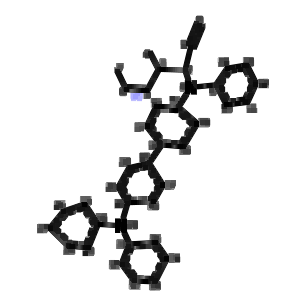 C#CC(C(C)/C=C\C)N(c1ccccc1)c1ccc(-c2ccc(N(c3ccccc3)c3ccccc3)cc2)cc1